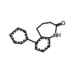 O=C1CCCc2c(cccc2-c2ccccc2)N1